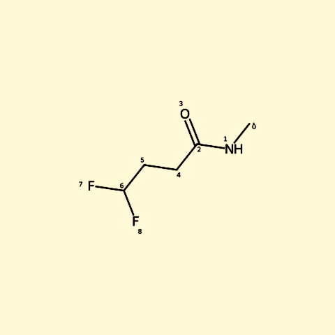 [CH2]NC(=O)CCC(F)F